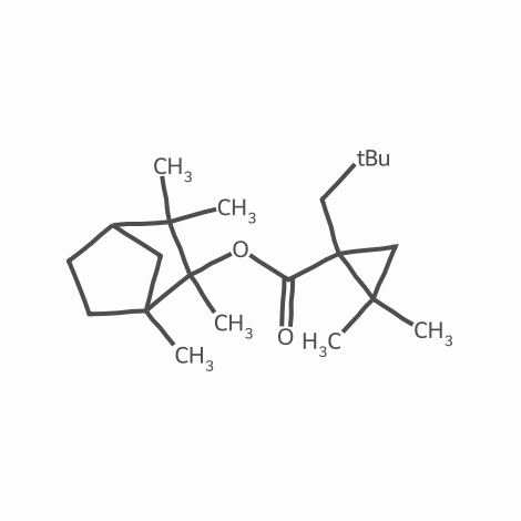 CC(C)(C)CC1(C(=O)OC2(C)C3(C)CCC(C3)C2(C)C)CC1(C)C